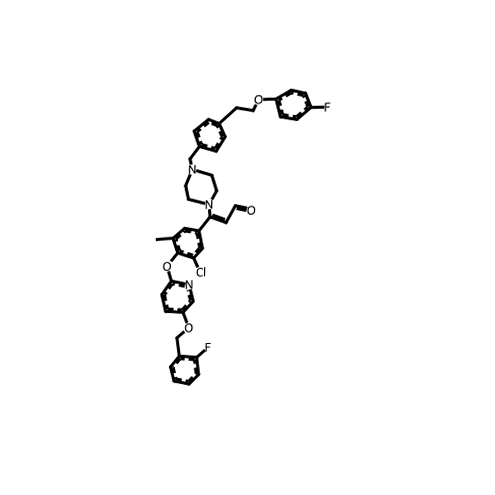 Cc1cc(C(=CC=O)N2CCN(Cc3ccc(CCOc4ccc(F)cc4)cc3)CC2)cc(Cl)c1Oc1ccc(OCc2ccccc2F)cn1